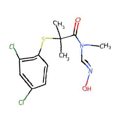 CN(C=NO)C(=O)C(C)(C)Sc1ccc(Cl)cc1Cl